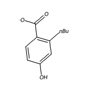 CCCCc1cc(O)ccc1C([O])=O